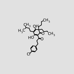 CCCCC1(CCCC)C(=O)C(C(=O)CCc2ccc(Cl)cc2)=C(O)C(CCC(C)C)=C1O